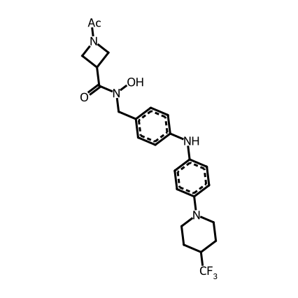 CC(=O)N1CC(C(=O)N(O)Cc2ccc(Nc3ccc(N4CCC(C(F)(F)F)CC4)cc3)cc2)C1